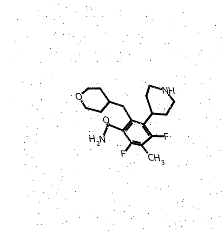 Cc1c(F)c(C(N)=O)c(CC2CCOCC2)c(C2CCNCC2)c1F